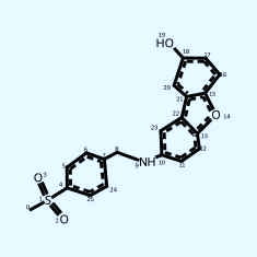 CS(=O)(=O)c1ccc(CNc2ccc3oc4ccc(O)cc4c3c2)cc1